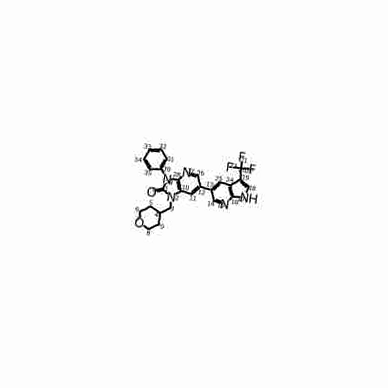 O=c1n(CC2CCOCC2)c2cc(-c3cnc4[nH]cc(C(F)(F)F)c4c3)cnc2n1-c1ccccc1